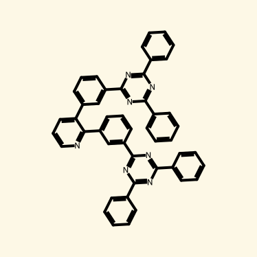 c1ccc(-c2nc(-c3ccccc3)nc(-c3cccc(-c4cccnc4-c4cccc(-c5nc(-c6ccccc6)nc(-c6ccccc6)n5)c4)c3)n2)cc1